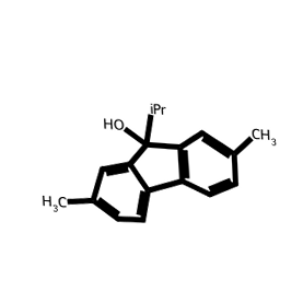 Cc1ccc2c(c1)C(O)(C(C)C)c1cc(C)ccc1-2